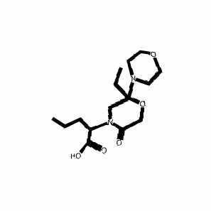 CCCC(C(=O)O)N1CC(CC)(N2CCOCC2)OCC1=O